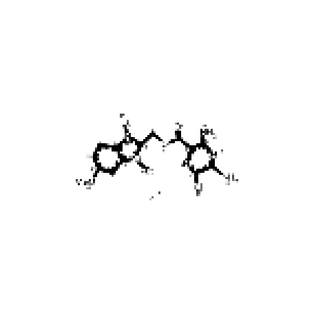 CCn1c(COC(=O)c2nc(Cl)c(N)nc2N)[n+](CC)c2ccc(OC)cc21.[I-]